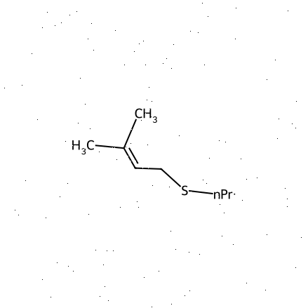 CC[CH]SCC=C(C)C